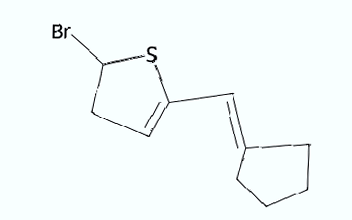 BrC1CC=C(C=C2CCCC2)S1